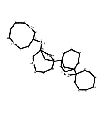 BC1(C23CCCCC(C45BC(BC6CCCCCCCCC6)(CCCCC4)C5)(CC2)C3)CCCCCCC1